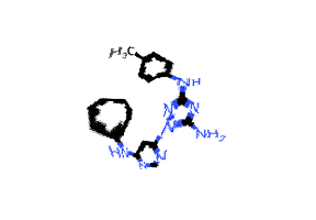 Cc1ccc(Nc2nc(N)n(-c3cc(Nc4ccccc4)ncn3)n2)cc1